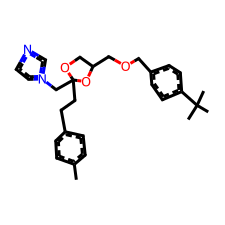 Cc1ccc(CCC2(Cn3ccnc3)OCC(COCc3ccc(C(C)(C)C)cc3)O2)cc1